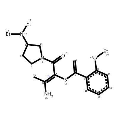 C=C(S/C(C(=O)N1CCC(N(CC)CC)C1)=C(/C)N)c1ccccc1OCC